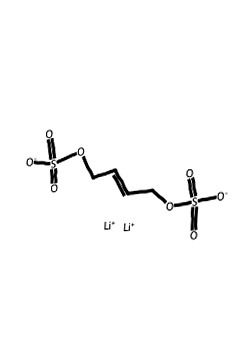 O=S(=O)([O-])OCC=CCOS(=O)(=O)[O-].[Li+].[Li+]